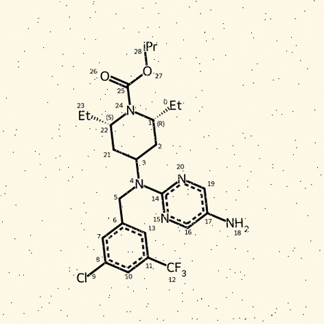 CC[C@@H]1CC(N(Cc2cc(Cl)cc(C(F)(F)F)c2)c2ncc(N)cn2)C[C@H](CC)N1C(=O)OC(C)C